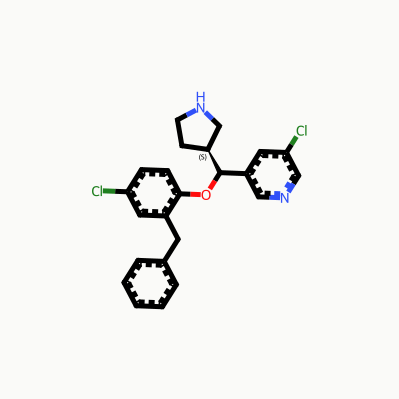 Clc1cncc(C(Oc2ccc(Cl)cc2Cc2ccccc2)[C@H]2CCNC2)c1